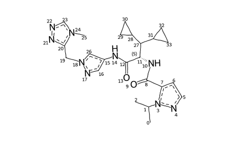 CC(C)n1nccc1C(=O)N[C@H](C(=O)Nc1cnn(Cc2nncn2C)c1)C(C1CC1)C1CC1